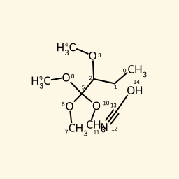 CCC(OC)C(OC)(OC)OC.N#CO